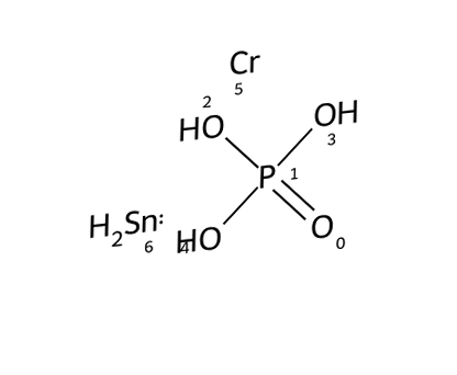 O=P(O)(O)O.[Cr].[SnH2]